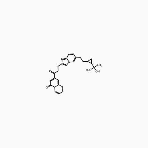 CC(C)(O)C1CC1CCc1ccc2nc(CCC(=O)C3=CC(=O)C4C=CC=CC4=C3)cn2c1